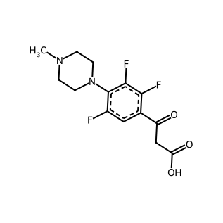 CN1CCN(c2c(F)cc(C(=O)CC(=O)O)c(F)c2F)CC1